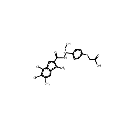 Cc1cc2c(cc(C(=O)N[C@H](CO)c3ccc(SCC(=O)O)cc3)n2C)c(Cl)c1Cl